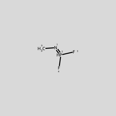 CN=[PH](F)F